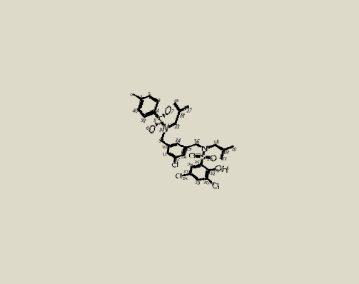 Cc1ccc(S(=O)(=O)N(Cc2cc(Cl)cc(CN(CC(C)C)S(=O)(=O)c3cc(Cl)cc(Cl)c3O)c2)CC(C)C)cc1